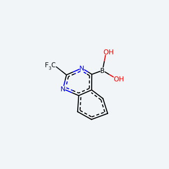 OB(O)c1nc(C(F)(F)F)nc2ccccc12